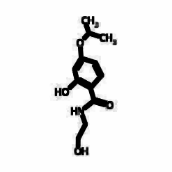 CC(C)Oc1ccc(C(=O)NCCO)c(O)c1